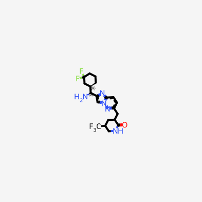 N[C@H](c1cn2nc(CC3CC(C(F)(F)F)CNC3=O)ccc2n1)[C@@H]1CCCC(F)(F)C1